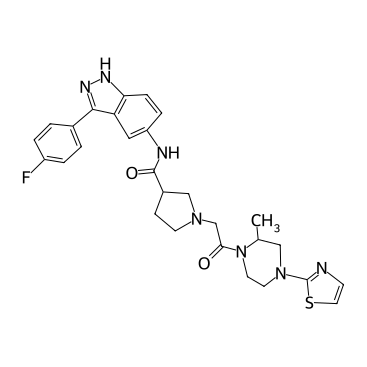 CC1CN(c2nccs2)CCN1C(=O)CN1CCC(C(=O)Nc2ccc3[nH]nc(-c4ccc(F)cc4)c3c2)C1